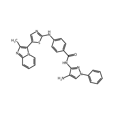 Cc1nc2ccccn2c1-c1cnc(Nc2ccc(C(=O)Nc3nn(-c4ccccc4)cc3N)cc2)s1